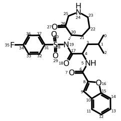 CC(C)CC(NC(=O)c1cc2ccccc2o1)C(=O)N([C@H]1CCCNCC1=O)S(=O)(=O)c1ccc(F)cc1